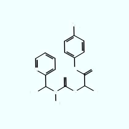 CC(C)C(NC(=O)N(C)C(C)c1ccccn1)C(=O)Oc1ccc([N+](=O)[O-])cc1